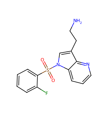 NCCc1cn(S(=O)(=O)c2ccccc2F)c2cccnc12